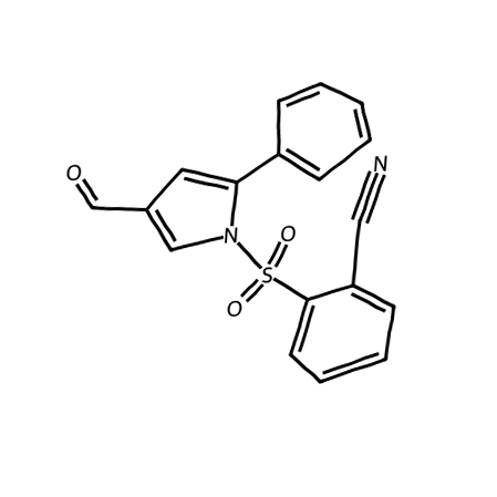 N#Cc1ccccc1S(=O)(=O)n1cc(C=O)cc1-c1ccccc1